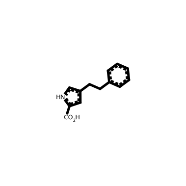 O=C(O)c1cc(CCc2ccccc2)c[nH]1